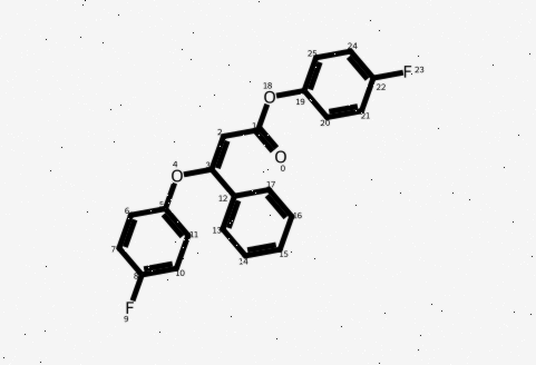 O=C(/C=C(/Oc1ccc(F)cc1)c1ccccc1)Oc1ccc(F)cc1